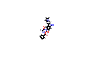 C[C@H](N)C(=O)N(C(=O)OC(=O)c1ccccc1)c1ccc2[nH]cc(C[C@H]3CCCN3C)c2c1